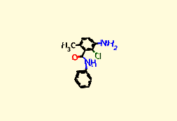 Cc1ccc(N)c(Cl)c1C(=O)Nc1ccccc1